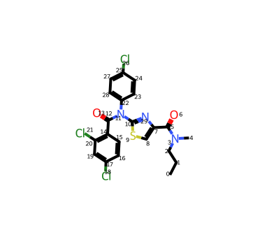 CCCN(C)C(=O)c1csc(N(C(=O)c2ccc(Cl)cc2Cl)c2ccc(Cl)cc2)n1